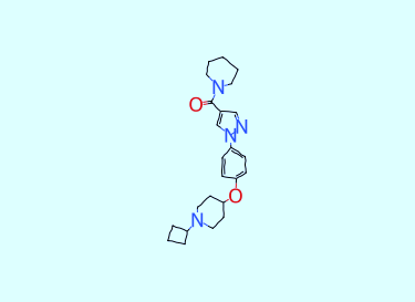 O=C(c1cnn(-c2ccc(OC3CCN(C4CCC4)CC3)cc2)c1)N1CCCCC1